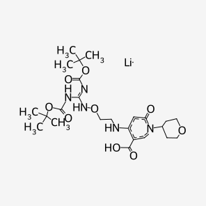 CC(C)(C)OC(=O)N=C(NOCCNc1cc(=O)n(C2CCOCC2)cc1C(=O)O)NC(=O)OC(C)(C)C.[Li]